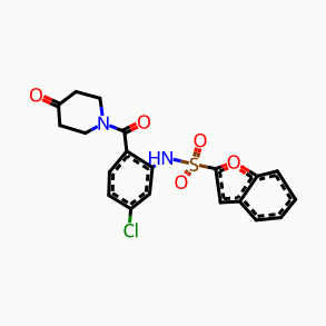 O=C1CCN(C(=O)c2ccc(Cl)cc2NS(=O)(=O)c2cc3ccccc3o2)CC1